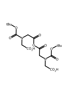 CC(C)(C)OC(=O)N(CC(=O)O)CC(=O)OC(=O)CN(CC(=O)O)C(=O)OC(C)(C)C